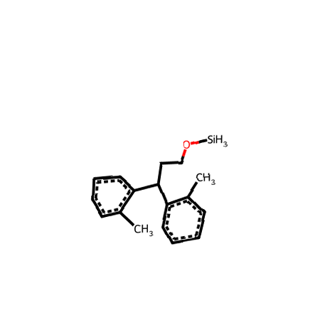 Cc1ccccc1C(CCO[SiH3])c1ccccc1C